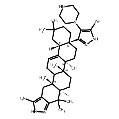 CC1(C)CC[C@]2(c3n[nH]c(O)c3N3CCNCC3)CC[C@]3(C)C(=CCC4[C@@]5(C)Cc6c(n[nH]c6N)C(C)(C)[C@@H]5CC[C@]43C)[C@@H]2C1